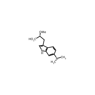 CO[C@@H](Cc1c[nH]c2cc(N(C)C)ccc12)C(=O)O